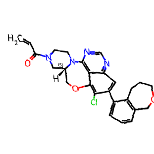 C=CC(=O)N1CCN2c3ncnc4cc(-c5cccc6c5CCCOC6)c(Cl)c(c34)OC[C@@H]2C1